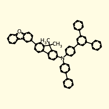 CC1(C)c2cc(-c3ccc4oc5ccccc5c4c3)ccc2-c2ccc(N(c3ccc(-c4ccccc4)cc3)c3ccc(-c4cc(-c5ccccc5)cc(-c5ccccc5)c4)cc3)cc21